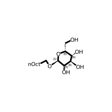 CCCCCCCCCO[C@H]1O[C@H](CO)[C@H](O)[C@@H](O)[C@H]1O